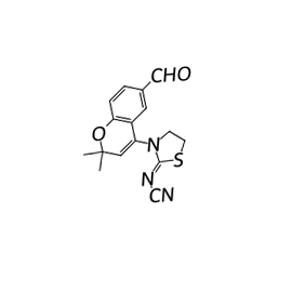 CC1(C)C=C(N2CCSC2=NC#N)c2cc(C=O)ccc2O1